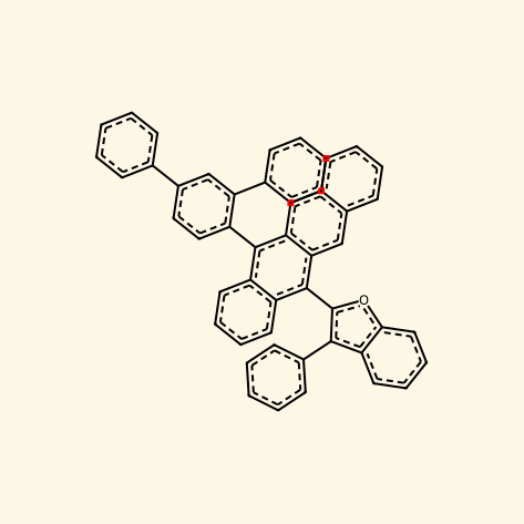 c1ccc(-c2ccc(-c3c4ccccc4c(-c4oc5ccccc5c4-c4ccccc4)c4cc5ccccc5cc34)c(-c3ccccc3)c2)cc1